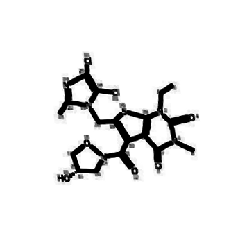 CCn1c(=O)n(C)c(=O)c2c(C(=O)N3C[C@H](O)CO3)c(Cn3c(C)nc(Cl)c3Cl)sc21